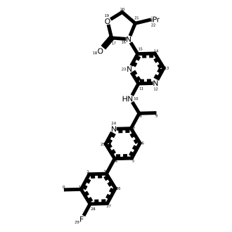 Cc1cc(-c2ccc(C(C)Nc3nccc(N4C(=O)OCC4C(C)C)n3)nc2)ccc1F